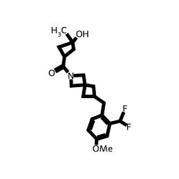 COc1ccc(CC2CC3(C2)CN(C(=O)C2CC(C)(O)C2)C3)c(C(F)F)c1